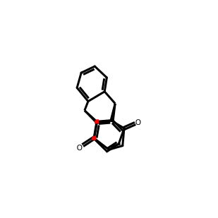 O=C1C=CC(=O)C2=C1C1c3ccccc3C2c2ccccc21